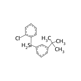 CC(C)(C)c1cccc([SiH2]c2ccccc2Cl)c1